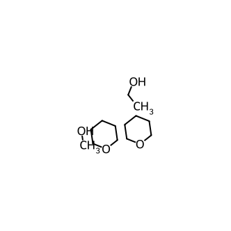 C1CCOCC1.C1CCOCC1.CCO.CO